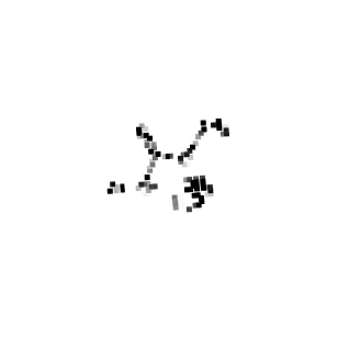 COC(C)=O.O.O.[Zn]